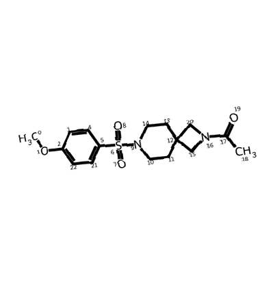 COc1ccc(S(=O)(=O)N2CCC3(CC2)CN(C(C)=O)C3)cc1